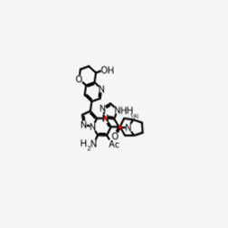 CC(=O)c1c(C2CC3CC[C@H](C2)N3C(=O)c2nnc[nH]2)nc2c(-c3cnc4c(c3)OCCC4O)cnn2c1N